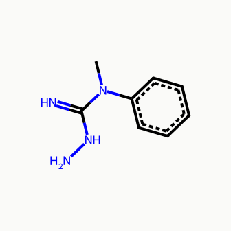 CN(C(=N)NN)c1ccccc1